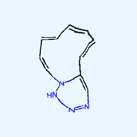 C1=C2/C=C/C=C\C=C\C=C/N2NN=N1